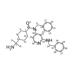 CC(C)(N)C1CCC(C(=O)N(Cc2ccccc2)c2ccnc(NCc3ccccc3)c2)CC1